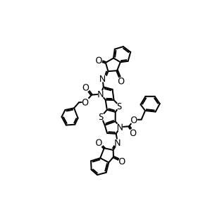 O=C(OCc1ccccc1)n1c(N=c2c(=O)c3ccccc3c2=O)cc2sc3c(sc4cc(N=c5c(=O)c6ccccc6c5=O)n(C(=O)OCc5ccccc5)c43)c21